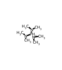 CN(C)[PH2](N(C)C)N(C)C